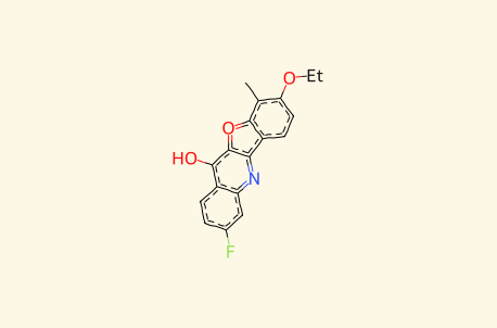 CCOc1ccc2c(oc3c(O)c4ccc(F)cc4nc32)c1C